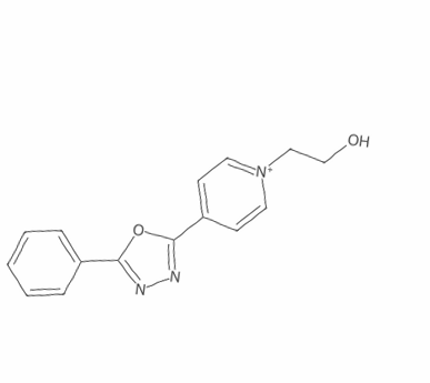 OCC[n+]1ccc(-c2nnc(-c3ccccc3)o2)cc1